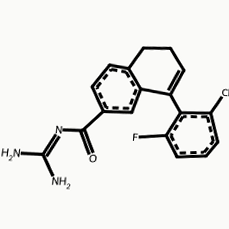 NC(N)=NC(=O)c1ccc2c(c1)C(c1c(F)cccc1Cl)=CCC2